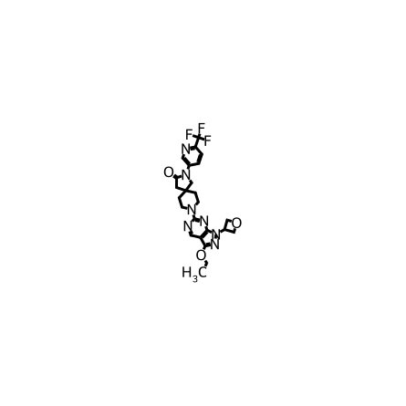 CCOc1nn(C2COC2)c2nc(N3CCC4(CC3)CC(=O)N(c3ccc(C(F)(F)F)nc3)C4)ncc12